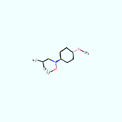 CON(CC(C)C)[C@H]1CC[C@H](OC)CC1